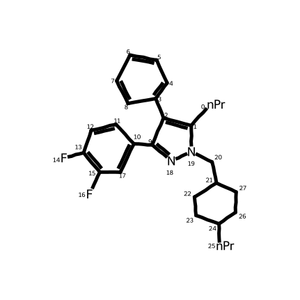 CCCc1c(-c2ccccc2)c(-c2ccc(F)c(F)c2)nn1CC1CCC(CCC)CC1